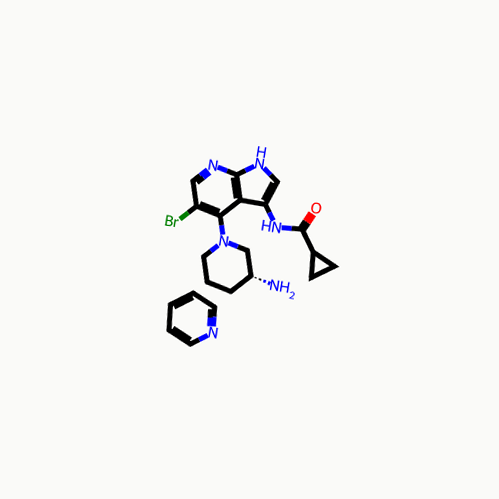 N[C@@H]1CCCN(c2c(Br)cnc3[nH]cc(NC(=O)C4CC4)c23)C1.c1ccncc1